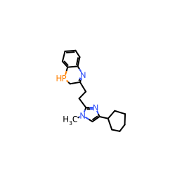 Cn1cc(C2CCCCC2)nc1CCC1=Nc2ccccc2PC1